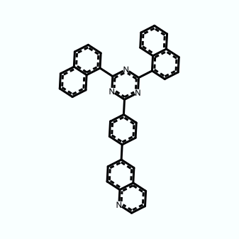 c1cnc2ccc(-c3ccc(-c4nc(-c5cccc6ccccc56)nc(-c5cccc6ccccc56)n4)cc3)cc2c1